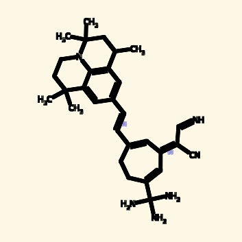 CC1CC(C)(C)N2CCC(C)(C)c3cc(/C=C/C4=CC(=C(/C#N)C=N)/C=C(C(N)(N)N)CC4)cc1c32